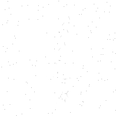 CC/C=C\C/C=C\C/C=C\C/C=C\C/C=C\C/C=C\CCC(=O)NCCNP(=O)(OC)OC[C@H]1OC(n2cc(C)c(=O)[nH]c2=O)C[C@@H]1N=[N+]=[N-]